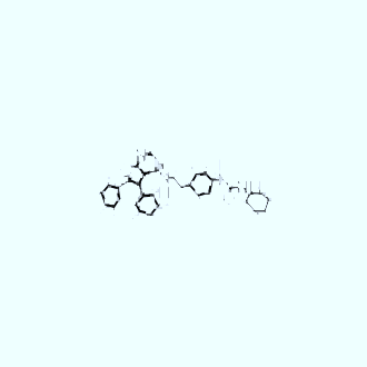 O=C(Nc1ccc(CCNc2ncnc3oc(-c4ccccc4)c(-c4ccccc4)c23)cc1)NC1CCCCC1